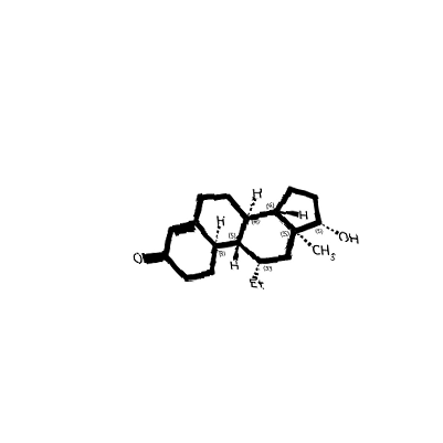 CC[C@H]1C[C@]2(C)[C@@H](O)CC[C@H]2[C@@H]2CCC3=CC(=O)CC[C@@H]3[C@@H]12